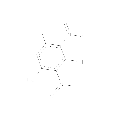 Cc1cc(O)c([N+](=O)[O-])c(O)c1[N+](=O)[O-]